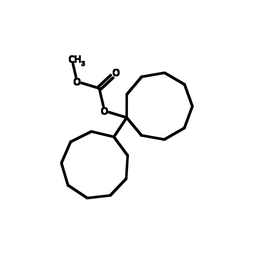 COC(=O)OC1(C2CCCCCCCC2)CCCCCCCC1